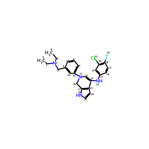 CCN(CC)Cc1cccc(N2C=C(Nc3ccc(F)c(Cl)c3)c3cc[nH]c3C2)c1